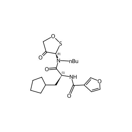 CCCCN(C(=O)[C@H](CC1CCCC1)NC(=O)c1ccoc1)[C@@H]1SOCC1=O